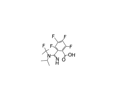 CC(C)N(C(=N)c1c(F)c(F)c(F)c(F)c1C(=O)O)C(C)(C)F